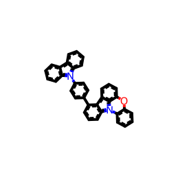 c1ccc2c(c1)Oc1cccc3c4c(-c5ccc(-n6c7ccccc7c7ccccc76)cc5)cccc4n-2c13